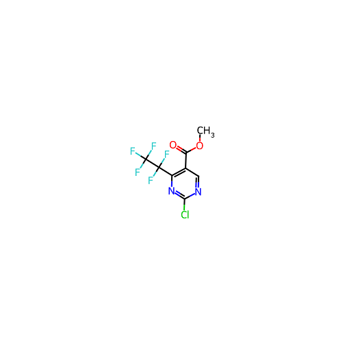 COC(=O)c1cnc(Cl)nc1C(F)(F)C(F)(F)F